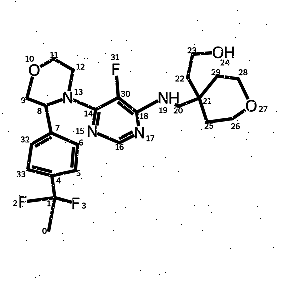 CC(F)(F)c1ccc(C2COCCN2c2ncnc(NCC3(CCO)CCOCC3)c2F)cc1